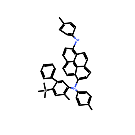 Cc1ccc(Nc2ccc3ccc4c(N(c5ccc(C)cc5)c5cc(-c6ccccc6)c([Si](C)(C)C)cc5C)ccc5ccc2c3c54)cc1